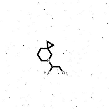 CCC(C)N1CCCC2(CC2)C1